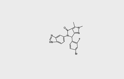 Cc1c2c(nn1C)C(c1ccc(Br)cc1F)N(c1ccc3[nH]cnc3c1)C2=O